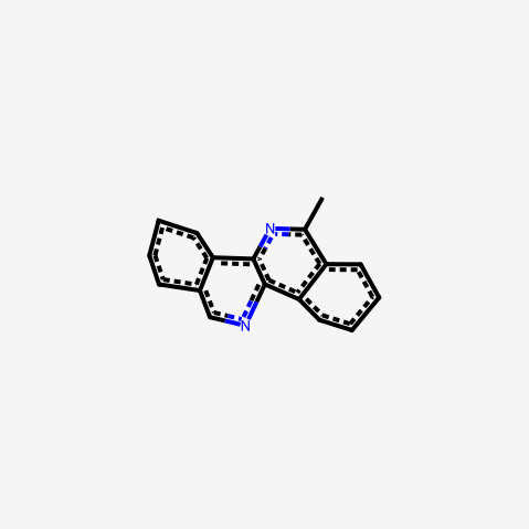 Cc1nc2c3ccccc3cnc2c2ccccc12